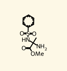 COC(=O)C(C)(N)NS(=O)(=O)c1ccccc1